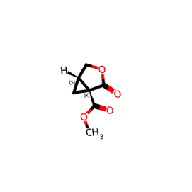 COC(=O)[C@@]12C[C@@H]1COC2=O